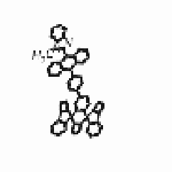 Cn1c(-c2c3ccccc3c(-c3ccc(-c4ccc5c(c4)C4(c6ccccc6-c6ccccc64)c4ccccc4C54c5ccccc5-c5ccccc54)cc3)c3ccccc23)nc2ccccc21